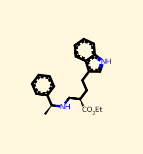 CCOC(=O)[C@H](CCc1c[nH]c2ccccc12)CN[C@@H](C)c1ccccc1